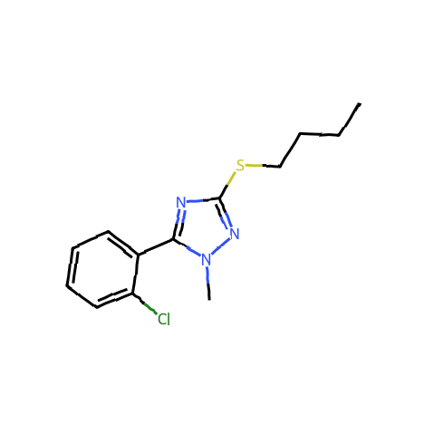 CCCCSc1nc(-c2ccccc2Cl)n(C)n1